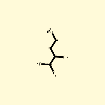 CC(C)(C)CCC(F)C(F)F